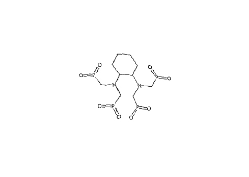 O=P(=O)CN(CP(=O)=O)C1CCCCC1N(CP(=O)=O)CP(=O)=O